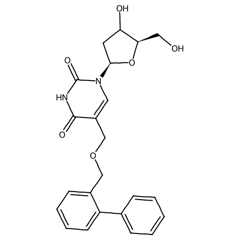 O=c1[nH]c(=O)n([C@H]2CC(O)[C@@H](CO)O2)cc1COCc1ccccc1-c1ccccc1